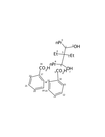 CCCC(O)C(CC)(CC)C(O)CCC.O=C(O)c1ccccc1.O=C(O)c1ccccc1